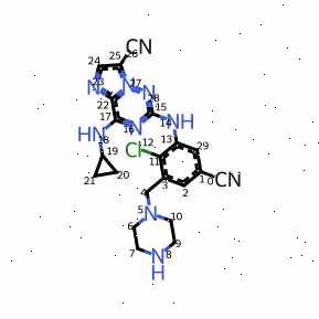 N#Cc1cc(CN2CCNCC2)c(Cl)c(Nc2nc(NC3CC3)c3ncc(C#N)n3n2)c1